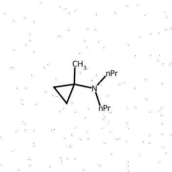 CCCN(CCC)C1(C)CC1